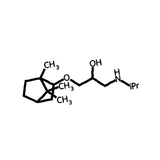 CC(C)NCC(O)COC1CC2CCC1(C)C2(C)C